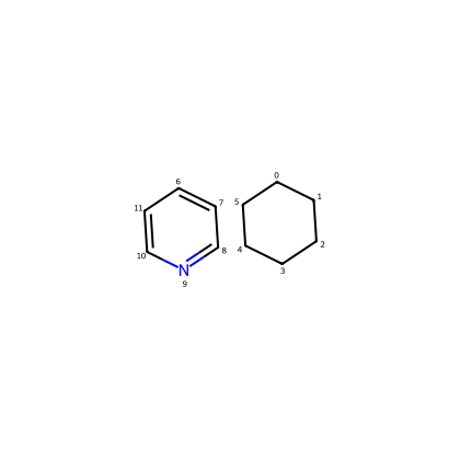 C1CCCCC1.c1ccncc1